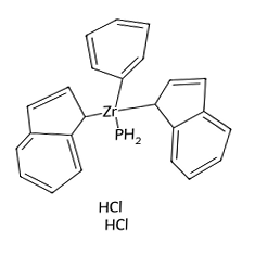 Cl.Cl.[PH2][Zr]([c]1ccccc1)([CH]1C=Cc2ccccc21)[CH]1C=Cc2ccccc21